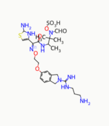 CC(NC(=O)/C(=N\OCCOc1ccc2c(c1)CN(C(=N)NCCCN)C2)C1=CSC(N)N1)C(C)(C)N(C=O)OS(=O)(=O)O